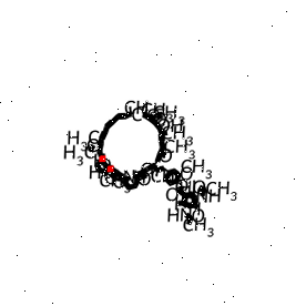 CO[C@H]1C[C@@H]2CC[C@@H](C)[C@@](O)(O2)C(=O)C(=O)N2CCCC[C@H]2C(=O)O[C@H]([C@H](C)C[C@@H]2CC[C@@H](OC(=O)c3c(I)c(NC(C)=O)c(I)c(NC(C)O)c3I)[C@H](OC)C2)CC(=O)[C@H](C)/C=C(\C)[C@@H](O)[C@@H](OC)C(=O)[C@H](C)C[C@H](C)/C=C/C=C/C=C/1C